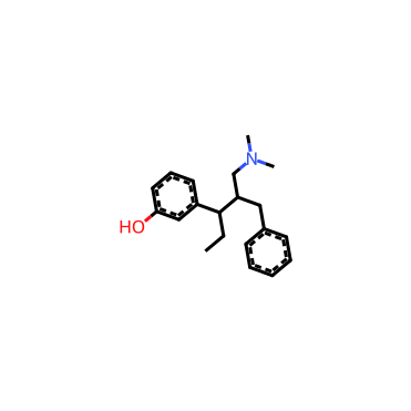 CCC(c1cccc(O)c1)C(Cc1ccccc1)CN(C)C